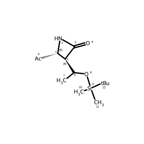 CC(=O)[C@@H]1NC(=O)[C@H]1C(C)O[Si](C)(C)C(C)(C)C